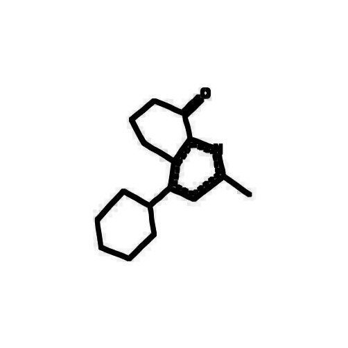 Cc1cc(C2CCCCC2)c2c(n1)C(=O)CCC2